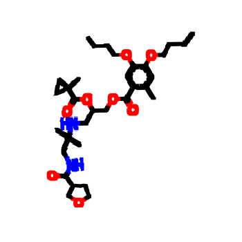 CCCCOc1cc(C)c(C(=O)OCC(CNC(C)(C)CNC(=O)C2CCOC2)OC(=O)C2(C)CC2)cc1OCCCC